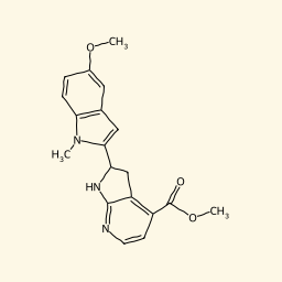 COC(=O)c1ccnc2c1CC(c1cc3cc(OC)ccc3n1C)N2